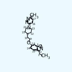 CCc1noc2cc(OCCC3CCN(c4ccc(C)nn4)CC3)ccc12